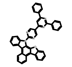 c1ccc(-c2cc(-c3cnc(-n4c5ccccc5c5c6ccccc6c6c7ccccc7oc6c54)nc3)nc(-c3ccccc3)n2)cc1